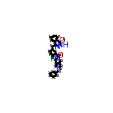 O=C(c1cc(Cc2n[nH]c(=O)c3ccccc23)ccc1F)N1C=C2CN(Cc3ccccc3)CC2C1